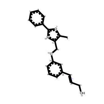 Cc1oc(-c2ccccc2)nc1COc1cccc(/C=C/CO)c1